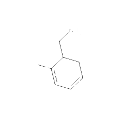 NCC1CC=CC=C1F